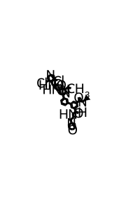 CCn1nc(-c2cccc(-c3cc(C(=O)NCCN4CCOCC4)cc(C(=O)NC4CC4)c3)c2)cc(NC(=O)Nc2c(Cl)cncc2Cl)c1=O